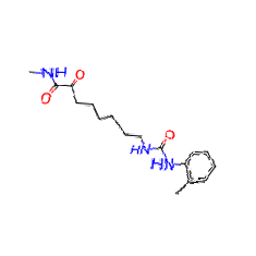 CNC(=O)C(=O)CCCCCCNC(=O)Nc1ccccc1C